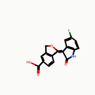 O=C1Nc2ccc(F)cc2/C1=C1\OCc2cc(C(=O)O)ccc21